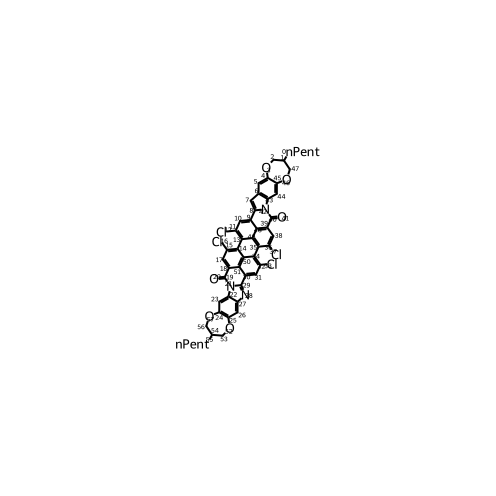 CCCCCC1COc2cc3cc4c5cc(Cl)c6c7c(Cl)cc8c(=O)n9c%10cc%11c(cc%10nc9c9cc(Cl)c(c%10c(Cl)cc(c(=O)n4c3cc2OC1)c5c6%10)c7c89)OCC(CCCCC)CO%11